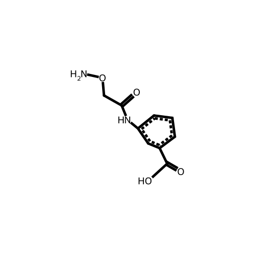 NOCC(=O)Nc1cccc(C(=O)O)c1